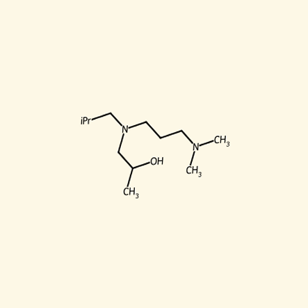 CC(C)CN(CCCN(C)C)CC(C)O